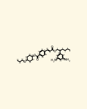 CCCCC(COC(=O)/C=C/c1ccc(C(=O)OC2CCC(OCCC)CC2)cc1)c1cc(N)cc(N)c1